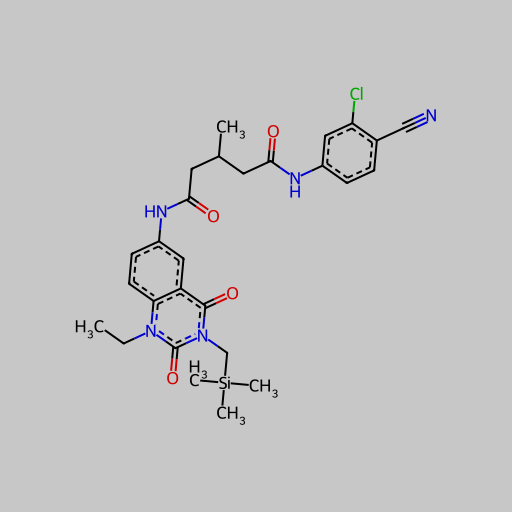 CCn1c(=O)n(C[Si](C)(C)C)c(=O)c2cc(NC(=O)CC(C)CC(=O)Nc3ccc(C#N)c(Cl)c3)ccc21